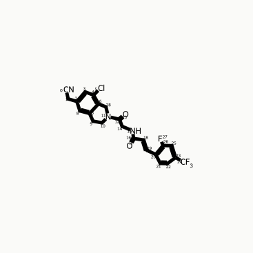 N#CCc1cc(Cl)c2c(c1)CCN(C(=O)CNC(=O)/C=C/c1ccc(C(F)(F)F)cc1F)C2